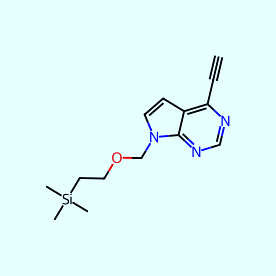 C#Cc1ncnc2c1ccn2COCC[Si](C)(C)C